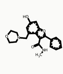 CNC(=O)c1c(-c2ccccc2)oc2cc(O)cc(CN3CCOCC3)c12